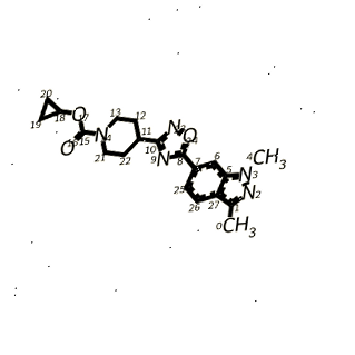 Cc1nn(C)c2cc(-c3nc(C4CCN(C(=O)OC5CC5)CC4)no3)ccc12